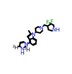 [2H]C1C=CN(c2cccc3c2cc(C)n3C2CCN(CC3CCNCC3(F)F)CC2)[C@@H]([2H])N1